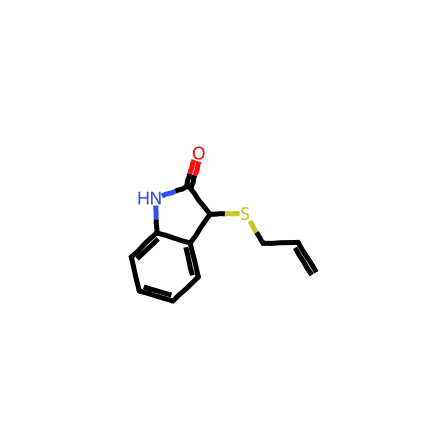 C=CCSC1C(=O)Nc2ccccc21